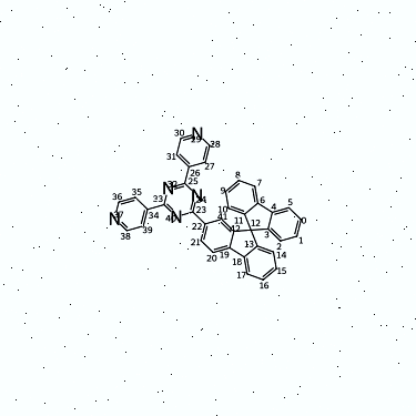 c1ccc2c(c1)-c1ccccc1C21c2ccccc2-c2ccc(-c3nc(-c4ccncc4)nc(-c4ccncc4)n3)cc21